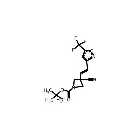 CC(C)(C)OC(=O)N1CC(C#N)(C=Cc2cc(C(F)(F)F)on2)C1